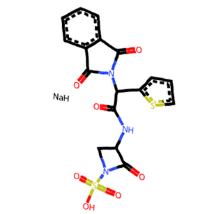 O=C(NC1CN(S(=O)(=O)O)C1=O)C(c1cccs1)N1C(=O)c2ccccc2C1=O.[NaH]